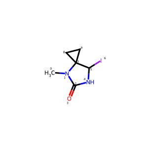 CN1C(=O)NC(I)C12CC2